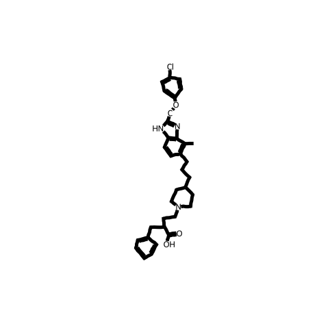 Cc1c(CCCC2CCN(CCC(Cc3ccccc3)C(=O)O)CC2)ccc2[nH]c(COc3ccc(Cl)cc3)nc12